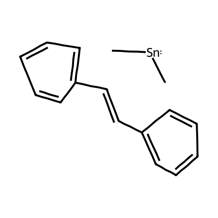 C(=Cc1ccccc1)c1ccccc1.[CH3][Sn][CH3]